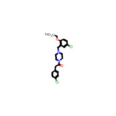 O=C(O)COc1ccc(Cl)cc1CN1CCN(C(=O)Cc2ccc(Cl)cc2)CC1